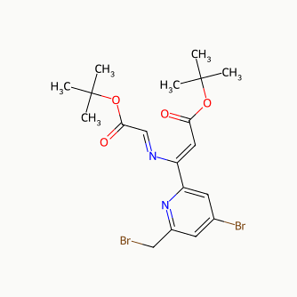 CC(C)(C)OC(=O)C=NC(=CC(=O)OC(C)(C)C)c1cc(Br)cc(CBr)n1